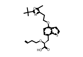 C=CCCO[C@@H](Cc1ccc(OCCc2nc(C(C)(C)C)oc2C)c2ccsc12)C(=O)O